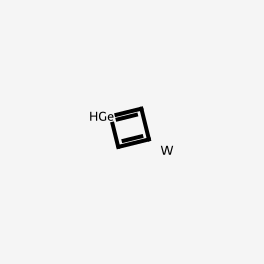 C1=[CH][GeH]=[CH]1.[W]